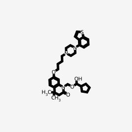 CC1(C)CC(=O)N(COC(O)C2CCCC2)c2cc(OCCCCN3CCN(c4cccc5sccc45)CC3)ccc21